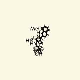 COc1cccc2c1CC(C(=O)N[C@@H](CO)C(=O)N[C@@H](CC(C)C)C(=O)[C@@]1(CO)CO1)CC2